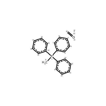 C[P+](c1ccccc1)(c1ccccc1)c1ccccc1.[C]=O.[I-]